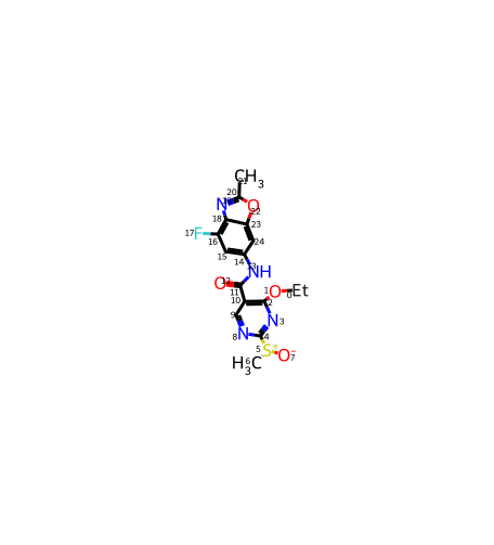 CCOc1nc([S+](C)[O-])ncc1C(=O)Nc1cc(F)c2nc(C)oc2c1